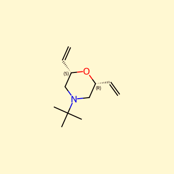 C=C[C@@H]1CN(C(C)(C)C)C[C@H](C=C)O1